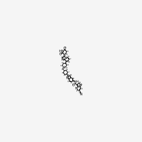 N#Cc1cnc2c(C(=O)Nc3ccc4nn([C@H]5CC[C@H](CN6CCC(c7cccn8c(N9CCC(=O)NC9=O)cnc78)CC6)CC5)cc4c3)cnn2c1